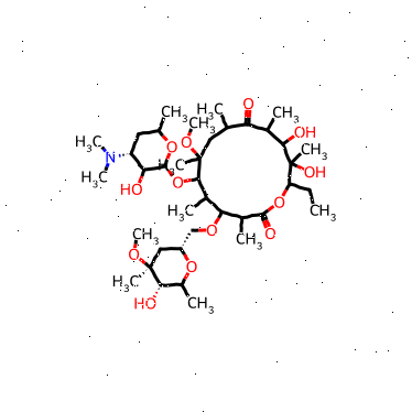 CCC1OC(=O)C(C)C(OC[C@H]2C[C@](C)(OC)[C@@H](O)C(C)O2)C(C)C(O[C@@H]2OC(C)C[C@@H](N(C)C)C2O)C(C)(OC)CC(C)C(=O)C(C)C(O)C1(C)O